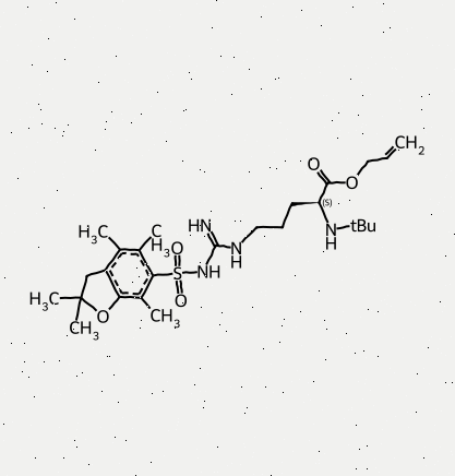 C=CCOC(=O)[C@H](CCCNC(=N)NS(=O)(=O)c1c(C)c(C)c2c(c1C)OC(C)(C)C2)NC(C)(C)C